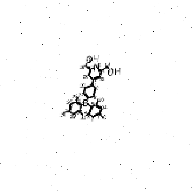 Cc1cc(C)c(B(c2ccc(-c3cc(CO)nc(CO)c3)cc2)c2c(C)cc(C)cc2C)c(C)c1